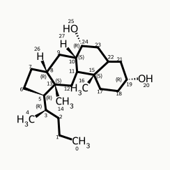 CCC[C@@H](C)[C@H]1CC[C@@H]2C[C@H]3C(C[C@@]21C)[C@@]1(C)CC[C@@H](O)CC1C[C@H]3O